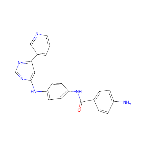 Nc1ccc(C(=O)Nc2ccc(Nc3cc(-c4cccnc4)ncn3)cc2)cc1